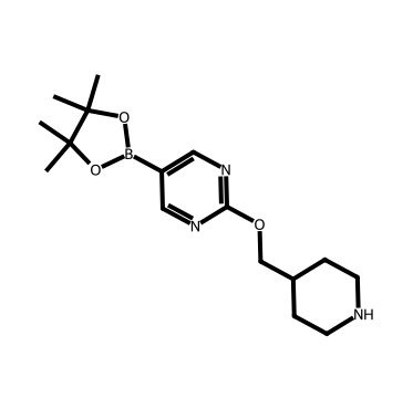 CC1(C)OB(c2cnc(OCC3CCNCC3)nc2)OC1(C)C